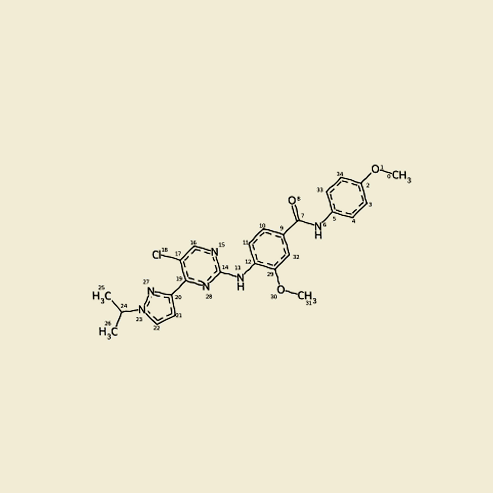 COc1ccc(NC(=O)c2ccc(Nc3ncc(Cl)c(-c4ccn(C(C)C)n4)n3)c(OC)c2)cc1